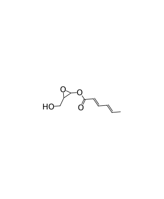 C/C=C/C=C/C(=O)OC1OC1CO